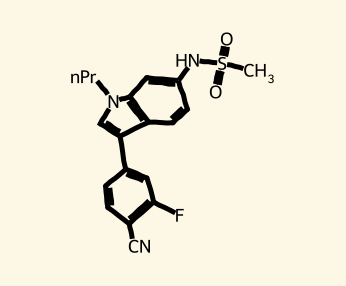 CCCn1cc(-c2ccc(C#N)c(F)c2)c2ccc(NS(C)(=O)=O)cc21